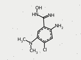 CN(C)c1cc(C(=N)NO)c(N)cc1Cl